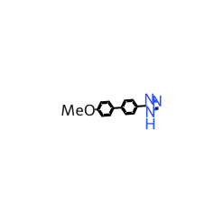 COc1ccc(-c2ccc(-c3nnc[nH]3)cc2)cc1